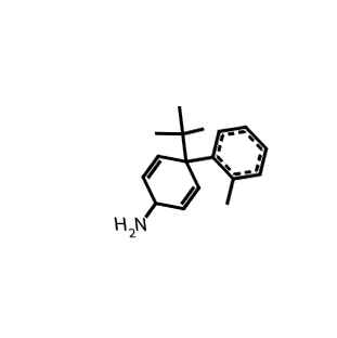 Cc1ccccc1C1(C(C)(C)C)C=CC(N)C=C1